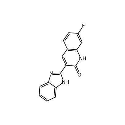 O=c1[nH]c2cc(F)ccc2cc1-c1nc2ccccc2[nH]1